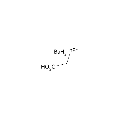 CCCCC(=O)O.[BaH2]